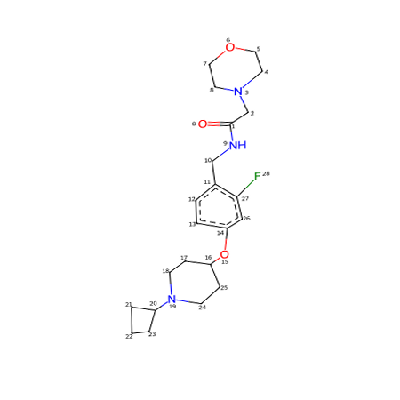 O=C(CN1CCOCC1)NCc1ccc(OC2CCN(C3CCC3)CC2)cc1F